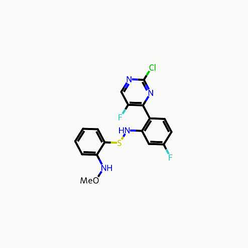 CONc1ccccc1SNc1cc(F)ccc1-c1nc(Cl)ncc1F